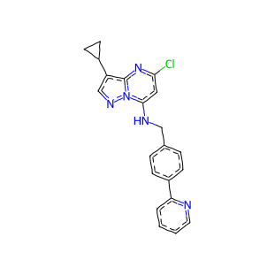 Clc1cc(NCc2ccc(-c3ccccn3)cc2)n2ncc(C3CC3)c2n1